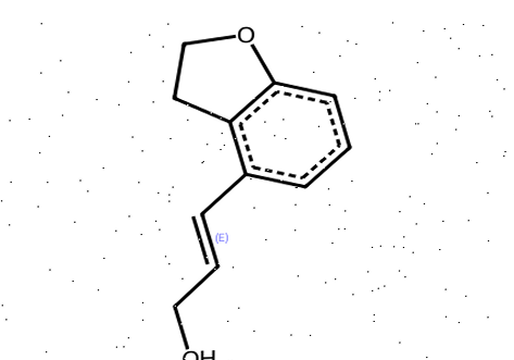 OC/C=C/c1cccc2c1CCO2